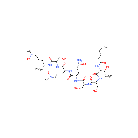 CCCCCCCCCCCCCC(=O)NC(C(=O)NC(CO)C(=O)NC(CO)C(=O)NC(CCC(N)=O)C(=O)NC(CCCN(O)C(C)=O)C(=O)NC(CO)C(=O)NC(CCCN(O)C(C)=O)C(=O)O)C(O)C(=O)O